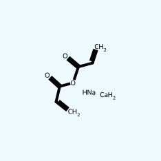 C=CC(=O)OC(=O)C=C.[CaH2].[NaH]